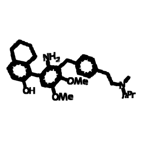 CCCN(C)CCc1ccc(Cc2c(N)c(-c3c(O)ccc4c3CCCC4)cc(OC)c2OC)cc1